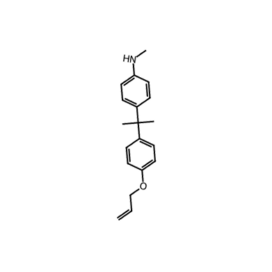 C=CCOc1ccc(C(C)(C)c2ccc(NC)cc2)cc1